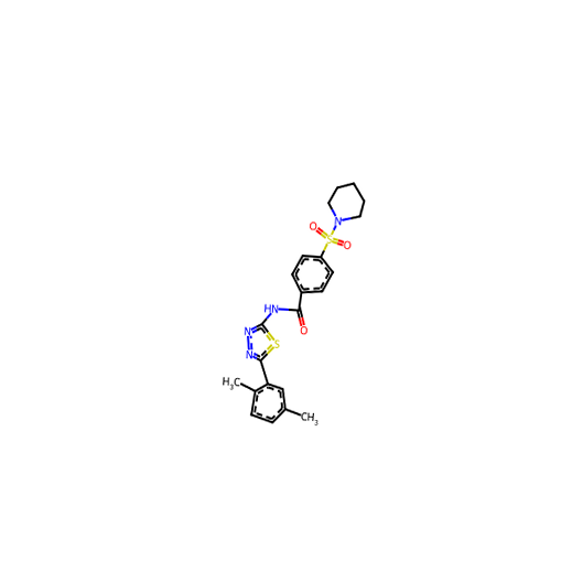 Cc1ccc(C)c(-c2nnc(NC(=O)c3ccc(S(=O)(=O)N4CCCCC4)cc3)s2)c1